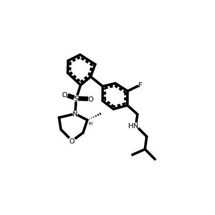 CC(C)CNCc1ccc(-c2ccccc2S(=O)(=O)N2CCOC[C@H]2C)cc1F